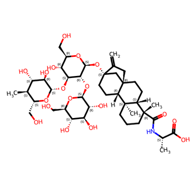 C=C1C[C@@]23CC[C@H]4[C@@](C)(CCC[C@@]4(C)C(=O)N[C@@H](C)C(=O)O)[C@@H]2CC[C@]1(O[C@@H]1O[C@H](CO)[C@@H](O)[C@H](O[C@@H]2O[C@H](CO)[C@@H](C)[C@H](O)[C@H]2O)[C@H]1O[C@@H]1O[C@H](CO)[C@@H](O)[C@H](O)[C@H]1O)C3